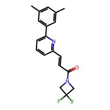 Cc1cc(C)cc(-c2cccc(/C=C/C(=O)N3CC(F)(F)C3)n2)c1